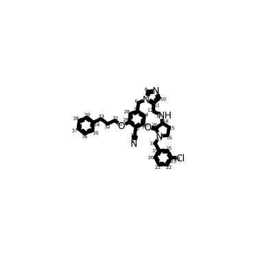 N#Cc1ccc(Cn2cncc2CNC2CCN(Cc3cccc(Cl)c3)C2=O)cc1OCCCc1ccccc1